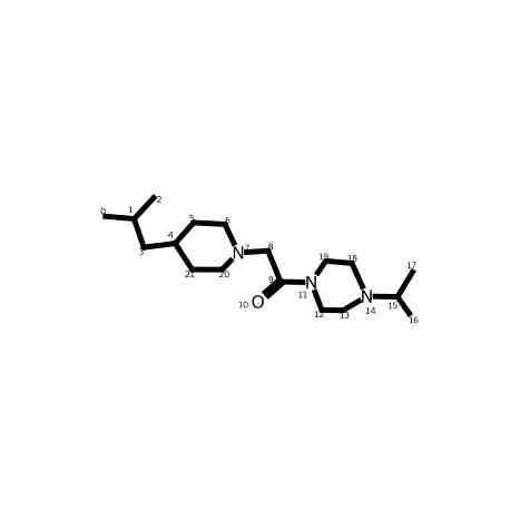 CC(C)CC1CCN(CC(=O)N2CCN(C(C)C)CC2)CC1